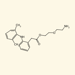 Cc1cccc(C)c1Nc1ccccc1CC(=O)OCCOCCN